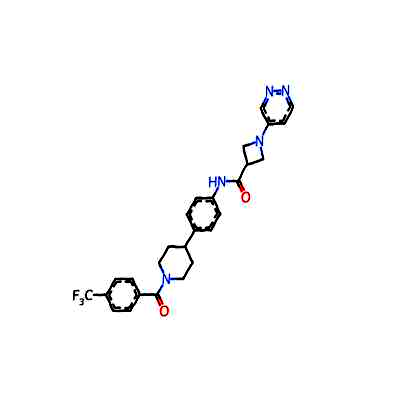 O=C(Nc1ccc(C2CCN(C(=O)c3ccc(C(F)(F)F)cc3)CC2)cc1)C1CN(c2ccnnc2)C1